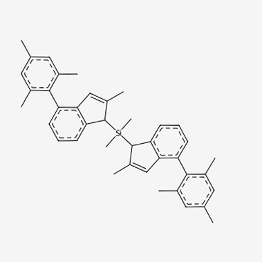 CC1=Cc2c(-c3c(C)cc(C)cc3C)cccc2C1[Si](C)(C)C1C(C)=Cc2c(-c3c(C)cc(C)cc3C)cccc21